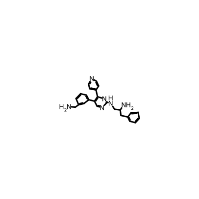 NCc1cccc(-c2cnc(NCC(N)Cc3ccccc3)nc2-c2ccncc2)c1